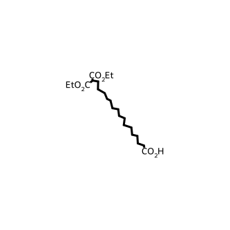 CCOC(=O)C(CCCCCCCCCCCCCCCC(=O)O)C(=O)OCC